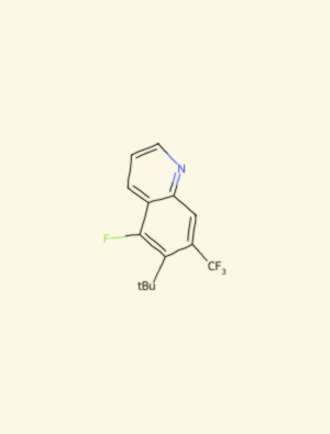 CC(C)(C)c1c(C(F)(F)F)cc2ncccc2c1F